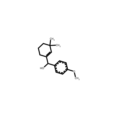 COc1ccc(C(O)C2=CC(C)(C)CCC2)cc1